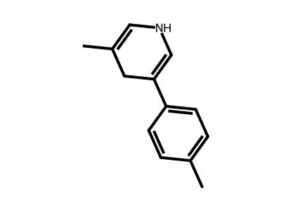 CC1=CNC=C(c2ccc(C)cc2)C1